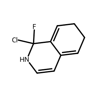 FC1(Cl)NC=CC2=CCCC=C21